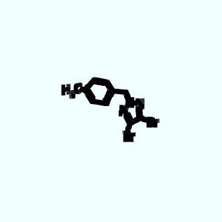 Cc1ccc(Cn2nc(Br)c(Br)n2)cc1